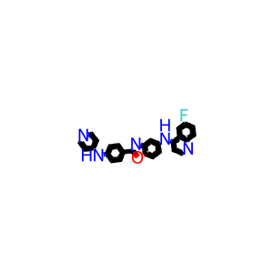 Fc1ccc2nccc(Nc3ccc4oc(-c5ccc(Nc6ccncc6)cc5)nc4c3)c2c1